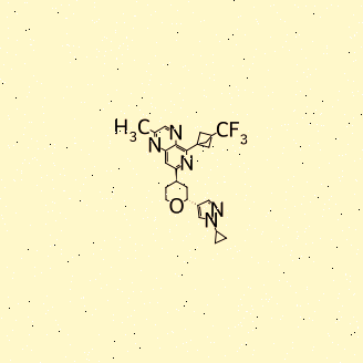 Cc1cnc2c(C34CC(C(F)(F)F)(C3)C4)nc([C@@H]3CCO[C@@H](c4cnn(C5CC5)c4)C3)cc2n1